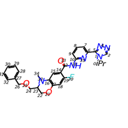 CC(C)n1cnnc1-c1cccc(NC(=O)c2cc3c(cc2F)OCC(COCc2ccccc2)N3C)n1